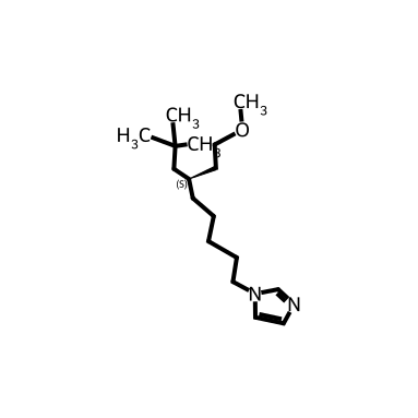 COCC[C@@H](CCCCCn1ccnc1)CC(C)(C)C